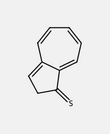 S=C1CC=C2C=CC=CC=C12